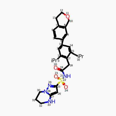 CC(C)c1cc(-c2ccc3c(c2)COCC3)cc(C(C)C)c1CC(=O)NS(=O)(=O)c1cc2n(n1)CCCN2